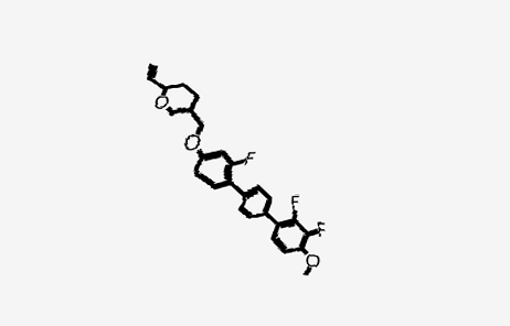 C=CC1CCC(COc2ccc(-c3ccc(-c4ccc(OC)c(F)c4F)cc3)c(F)c2)CO1